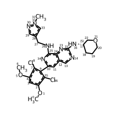 COc1cc(OC)c(Cl)c(-c2cc3cnc(N[C@H]4CCCOC4)nc3c(NCc3cnn(C)c3)n2)c1Cl